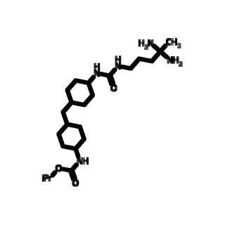 CC(C)OC(=O)NC1CCC(CC2CCC(NC(=O)NCCCC(C)(N)N)CC2)CC1